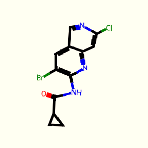 O=C(Nc1nc2cc(Cl)ncc2cc1Br)C1CC1